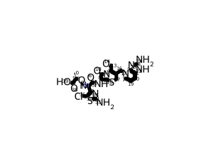 C[C@H](O/N=C(\C(=O)NC1C(=O)N2C(C=O)=C(C[n+]3cccc4[nH]c(N)nc43)CSC12)c1nc(N)sc1Cl)C(=O)O